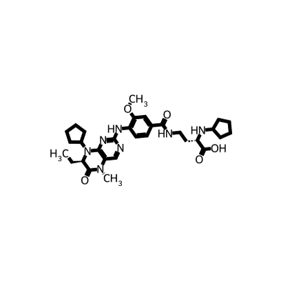 CC[C@@H]1C(=O)N(C)c2cnc(Nc3ccc(C(=O)NCC[C@H](NC4CCCC4)C(=O)O)cc3OC)nc2N1C1CCCC1